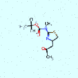 CC(=O)CC1CSC(N(C)C(=O)OC(C)(C)C)=N1